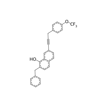 Oc1c(Cc2ccccc2)ccc2ccc(C#CCc3ccc(OC(F)(F)F)cc3)cc12